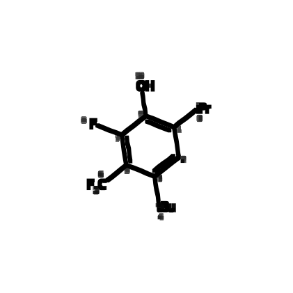 CC(C)c1cc(C(C)(C)C)c(C(F)(F)F)c(F)c1O